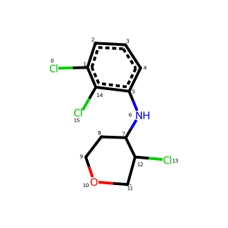 Clc1cccc(NC2CCO[CH]C2Cl)c1Cl